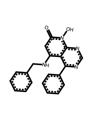 O=c1cc(NCc2ccccc2)c2c(-c3ccccc3)ncnc2n1O